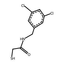 O=C(CS)NCc1cc(Cl)cc(Cl)c1